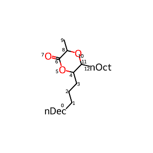 CCCCCCCCCCCCCC1OC(=O)C(C)OC1CCCCCCCC